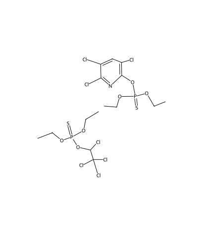 CCOP(=S)(OCC)OC(Cl)C(Cl)(Cl)Cl.CCOP(=S)(OCC)Oc1nc(Cl)c(Cl)cc1Cl